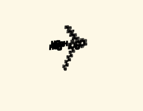 CCCCCCCCCc1ccccc1Oc1ccccc1CCCCCCCCC.O=P(O)(O)O.[NaH]